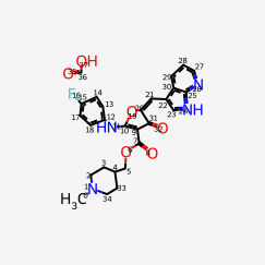 CN1CCC(COC(=O)C2=C(Nc3ccc(F)cc3)OC(=Cc3c[nH]c4ncccc34)C2=O)CC1.O=CO